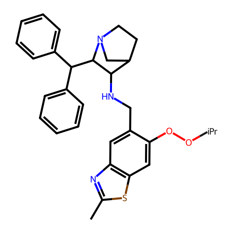 Cc1nc2cc(CNC3C4CCN(C4)C3C(c3ccccc3)c3ccccc3)c(OOC(C)C)cc2s1